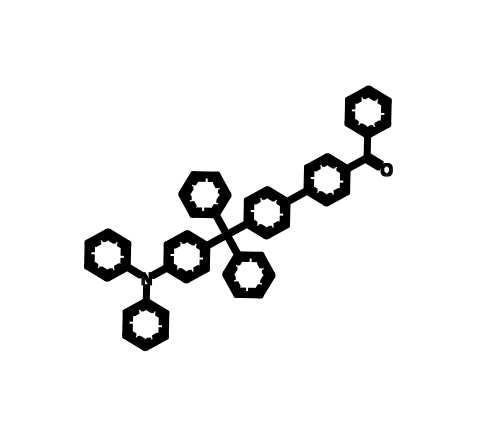 O=C(c1ccccc1)c1ccc(-c2ccc(C(c3ccccc3)(c3ccccc3)c3ccc(N(c4ccccc4)c4ccccc4)cc3)cc2)cc1